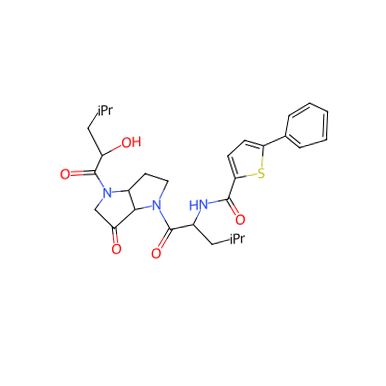 CC(C)CC(O)C(=O)N1CC(=O)C2C1CCN2C(=O)C(CC(C)C)NC(=O)c1ccc(-c2ccccc2)s1